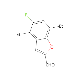 CCc1c(F)cc(CC)c2oc(C=O)cc12